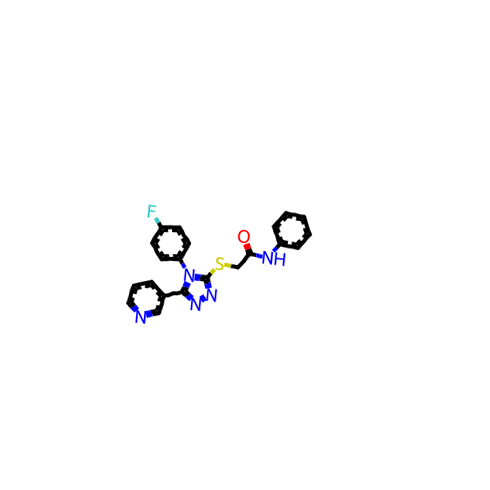 O=C(CSc1nnc(-c2cccnc2)n1-c1ccc(F)cc1)Nc1ccccc1